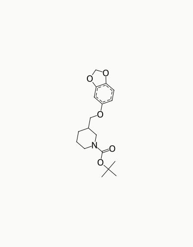 CC(C)(C)OC(=O)N1CCCC(COc2ccc3c(c2)OCO3)C1